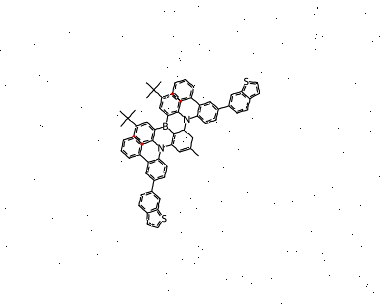 CC1=CC2=C3B(c4cc(C(C)(C)C)ccc4N2c2ccc(-c4ccc5ccsc5c4)cc2-c2ccccc2)c2cc(C(C)(C)C)ccc2N(c2ccc(-c4ccc5ccsc5c4)cc2-c2ccccc2)C3C1